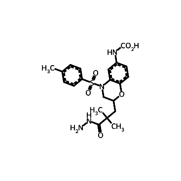 Cc1ccc(S(=O)(=O)N2CC(CC(C)(C)C(=O)NN)Oc3ccc(NC(=O)O)cc32)cc1